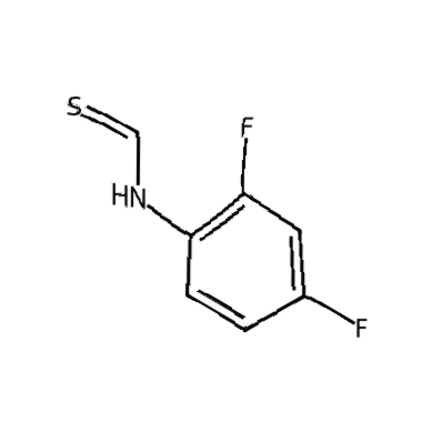 Fc1ccc(NC=S)c(F)c1